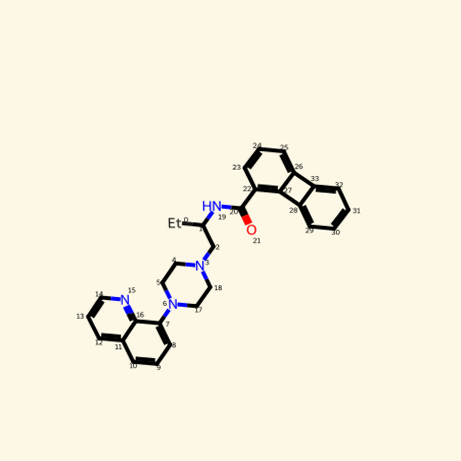 CCC(CN1CCN(c2cccc3cccnc23)CC1)NC(=O)c1cccc2c1-c1ccccc1-2